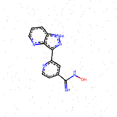 N=C(NO)c1ccnc(-c2n[nH]c3cccnc23)c1